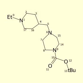 CCN1CCC(CN2CCN(C(=O)OC(C)(C)C)CC2)CC1